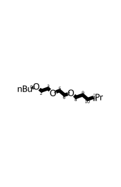 CCCCOCCOCCOCCCC(C)C